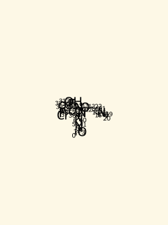 C=CC(=O)N1CCN(c2nc(OCCC3CCN(C4CC4)CC3)nc3c(F)c(-c4c(O)cccc4F)c(Cl)cc23)CC1